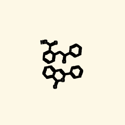 O=C(Cc1ccccc1C(=O)O)c1ccccc1.O=c1oc(-c2ccccc2)cc2ccccc12